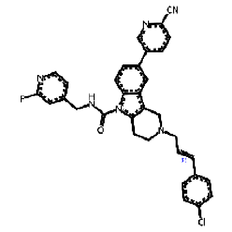 N#Cc1ccc(-c2ccc3c(c2)c2c(n3C(=O)NCc3ccnc(F)c3)CCN(C/C=C/c3ccc(Cl)cc3)C2)cn1